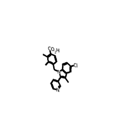 Cc1c(Cn2c(-c3cccnc3)c(C)c3cc(Cl)ccc32)ccc(C(=O)O)c1C